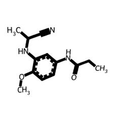 CCC(=O)Nc1ccc(OC)c(NC(C)C#N)c1